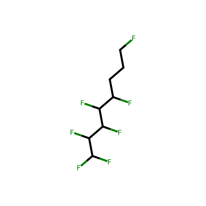 FCCCC(F)C(F)C(F)C(F)C(F)F